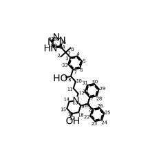 CC(C)(c1cccc(C(O)CCCN2CCC(O)CC2C(c2ccccc2)c2ccccc2)c1)c1nnn[nH]1